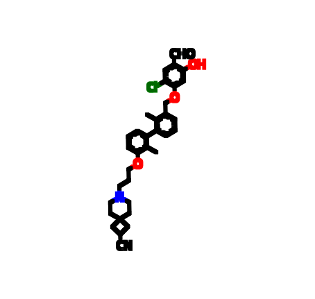 Cc1c(COc2cc(O)c(C=O)cc2Cl)cccc1-c1cccc(OCCCN2CCC3(CC2)CC(C#N)C3)c1C